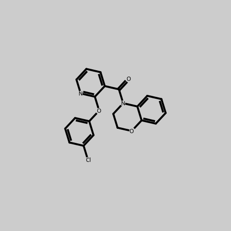 O=C(c1cccnc1Oc1cccc(Cl)c1)N1CCOc2ccccc21